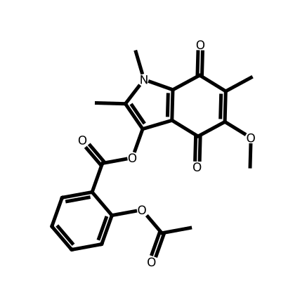 COC1=C(C)C(=O)c2c(c(OC(=O)c3ccccc3OC(C)=O)c(C)n2C)C1=O